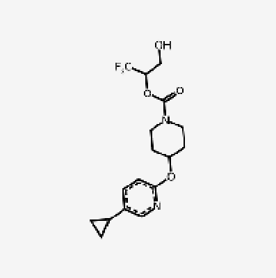 O=C(OC(CO)C(F)(F)F)N1CCC(Oc2ccc(C3CC3)cn2)CC1